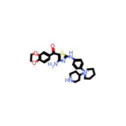 Nc1nc(Nc2ccc([N+]3(C4CCNCC4)CCCCC3)cc2)sc1C(=O)c1ccc2c(c1)OCCO2